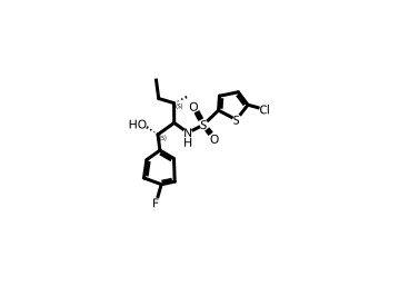 CC[C@H](C)C(NS(=O)(=O)c1ccc(Cl)s1)[C@@H](O)c1ccc(F)cc1